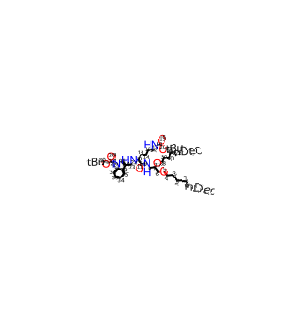 CCCCCCCCCCCCCCOCC(CNC(=O)C(CCCCNC(=O)OC(C)(C)C)NCc1cn(C(=O)OC(C)(C)C)c2ccccc12)OCCCCCCCCCCCCCC